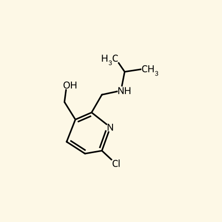 CC(C)NCc1nc(Cl)ccc1CO